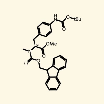 COC(=O)[C@H](Cc1ccc(NC(=O)OC(C)(C)C)cc1)N(C)C(=O)OCC1c2ccccc2-c2ccccc21